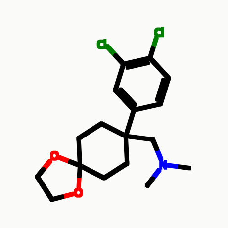 CN(C)CC1(c2ccc(Cl)c(Cl)c2)CCC2(CC1)OCCO2